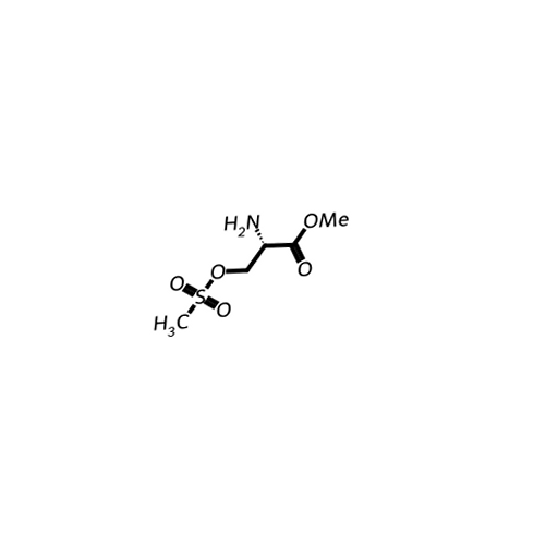 COC(=O)[C@@H](N)COS(C)(=O)=O